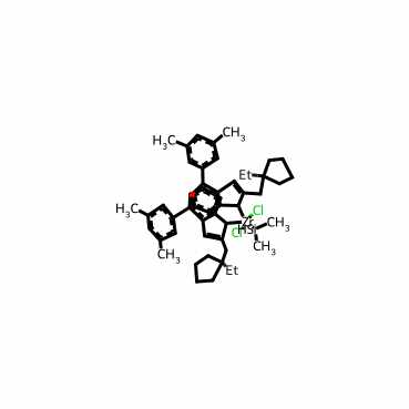 CCC1(CC2=Cc3c(-c4cc(C)cc(C)c4)cccc3[CH]2[Zr]([Cl])([Cl])([CH]2C(CC3(CC)CCCC3)=Cc3c(-c4cc(C)cc(C)c4)cccc32)[SiH](C)C)CCCC1